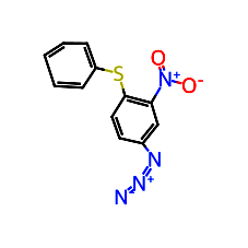 [N-]=[N+]=Nc1ccc(Sc2ccccc2)c([N+](=O)[O-])c1